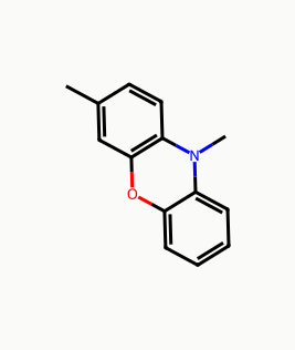 Cc1ccc2c(c1)Oc1ccccc1N2C